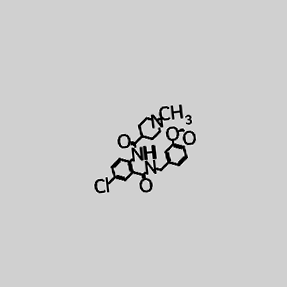 CN1CCC(C(=O)Nc2ccc(Cl)cc2C(=O)NCc2ccc3c(c2)OCO3)CC1